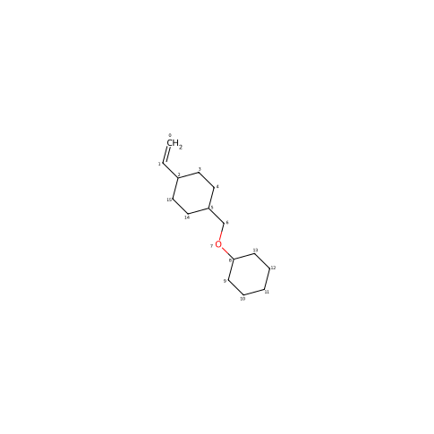 C=CC1CCC(COC2CCCCC2)CC1